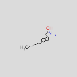 CCCCCCCCc1ccc2c(C[C@H](N)CO)cccc2c1